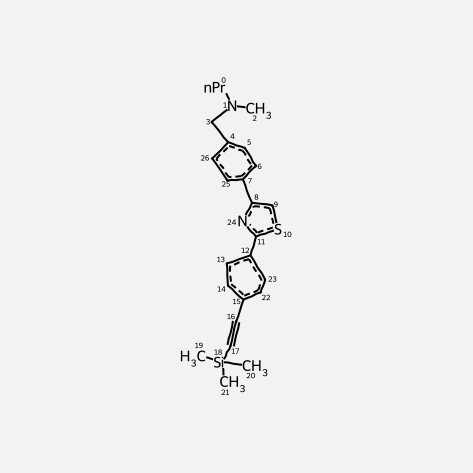 CCCN(C)Cc1ccc(-c2csc(-c3ccc(C#C[Si](C)(C)C)cc3)n2)cc1